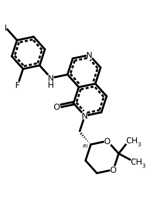 CC1(C)OCC[C@H](Cn2ccc3cncc(Nc4ccc(I)cc4F)c3c2=O)O1